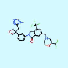 Cn1cnnc1CC1(c2cccc(N3Cc4c(cc(CN5CCOC(C(F)F)C5)cc4C(F)(F)F)C3=O)c2)COC1